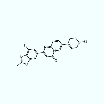 CCN1CC=C(c2ccc3nc(-c4cc(F)c5nc(C)oc5c4)cc(=O)n3c2)CC1